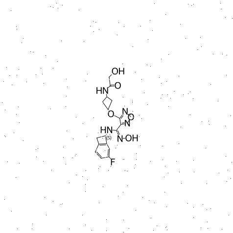 O=C(CO)NC1CC(Oc2nonc2C(=NO)N[C@H]2Cc3ccc(F)cc32)C1